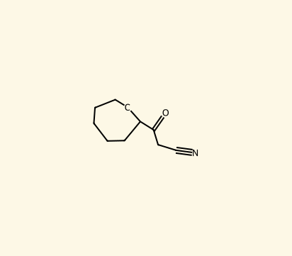 N#CCC(=O)C1CCCCCC1